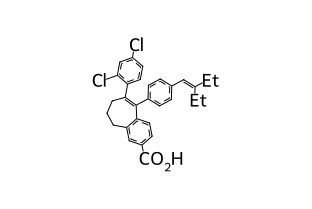 CCC(=Cc1ccc(C2=C(c3ccc(Cl)cc3Cl)CCCc3cc(C(=O)O)ccc32)cc1)CC